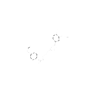 CCSc1cc(C(O)CNCCCCN(C)c2ccc(NC(C)=O)cc2)ccc1O